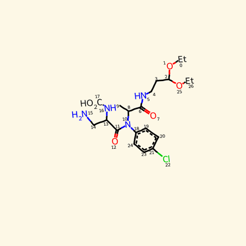 CCOC(CCNC(=O)C(C)N(C(=O)C(CN)NC(=O)O)c1ccc(Cl)cc1)OCC